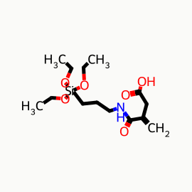 C=C(CC(=O)O)C(=O)NCCC[Si](OCC)(OCC)OCC